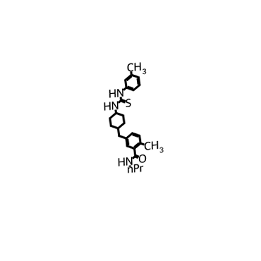 CCCNC(=O)c1cc(CC2CCC(NC(=S)Nc3cccc(C)c3)CC2)ccc1C